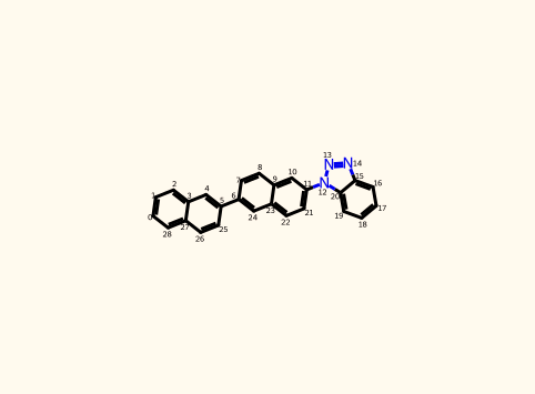 c1ccc2cc(-c3ccc4cc(-n5nnc6ccccc65)ccc4c3)ccc2c1